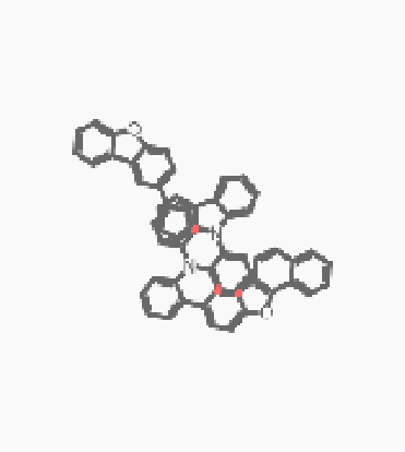 c1ccc(N(c2ccc(-c3ccc4oc5ccccc5c4c3)cc2)c2ccccc2-n2c3ccccc3c3ccccc32)c(-c2ccc3oc4c5ccccc5ccc4c3c2)c1